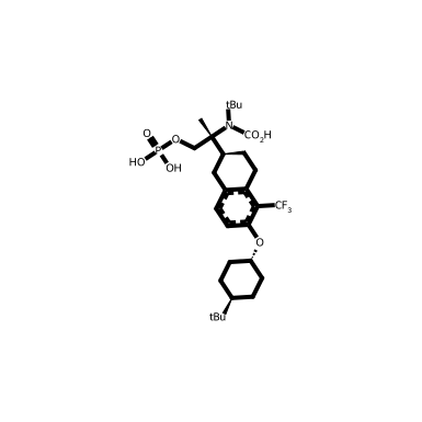 CC(C)(C)N(C(=O)O)[C@@](C)(COP(=O)(O)O)[C@H]1CCc2c(ccc(O[C@H]3CC[C@H](C(C)(C)C)CC3)c2C(F)(F)F)C1